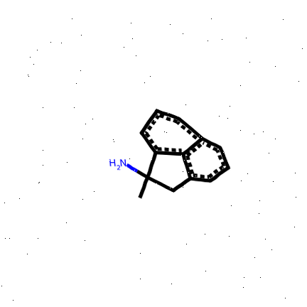 CC1(N)Cc2cccc3cccc1c23